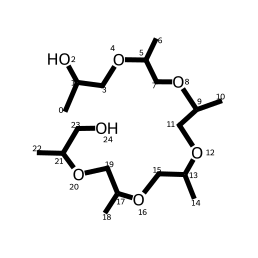 CC(O)COC(C)COC(C)COC(C)COC(C)COC(C)CO